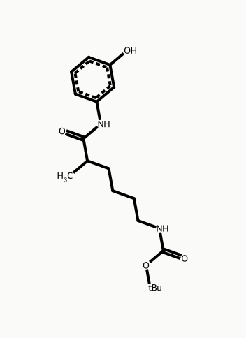 CC(CCCCNC(=O)OC(C)(C)C)C(=O)Nc1cccc(O)c1